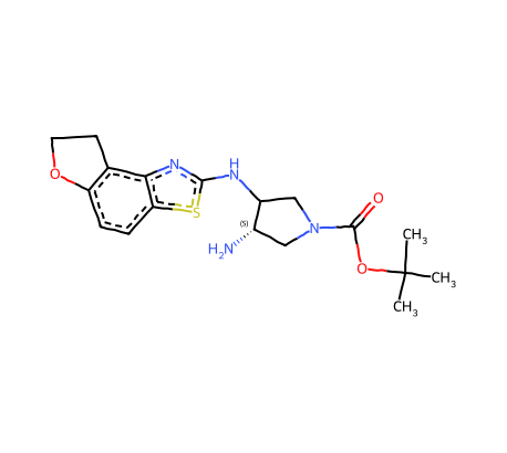 CC(C)(C)OC(=O)N1CC(Nc2nc3c4c(ccc3s2)OCC4)[C@@H](N)C1